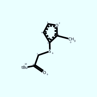 Cc1occc1SCC(=O)C(C)(C)C